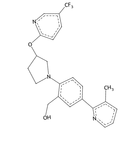 Cc1cccnc1-c1ccc(N2CCC(Oc3ccc(C(F)(F)F)cn3)C2)c(CO)c1